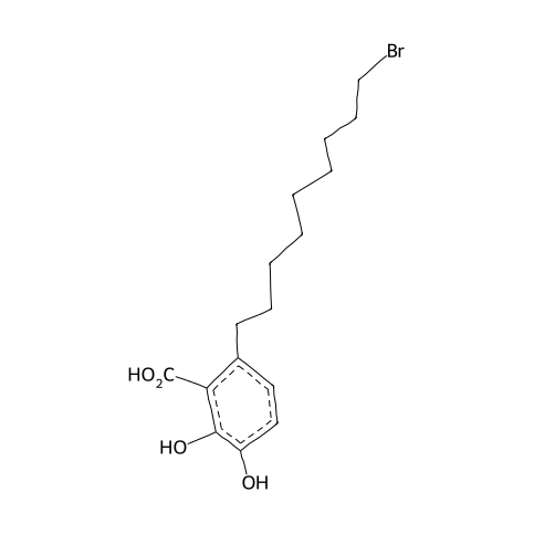 O=C(O)c1c(CCCCCCCCCBr)ccc(O)c1O